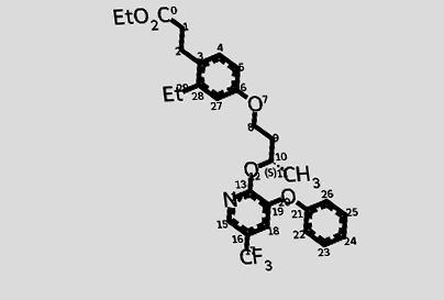 CCOC(=O)CCc1ccc(OCC[C@H](C)Oc2ncc(C(F)(F)F)cc2Oc2ccccc2)cc1CC